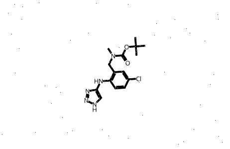 CN(Cc1cc(Cl)ccc1Nc1c[nH]nn1)C(=O)OC(C)(C)C